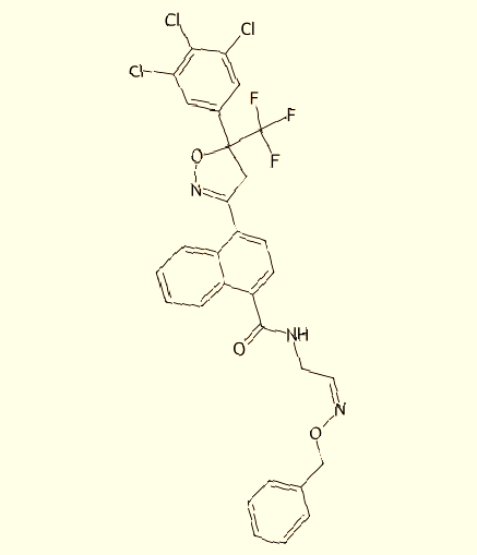 O=C(NC/C=N\OCc1ccccc1)c1ccc(C2=NOC(c3cc(Cl)c(Cl)c(Cl)c3)(C(F)(F)F)C2)c2ccccc12